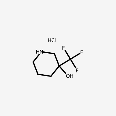 Cl.OC1(C(F)(F)F)CCCNC1